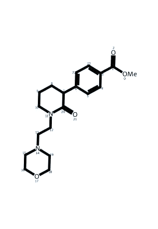 COC(=O)c1ccc(C2CCCN(CCN3CCOCC3)C2=O)cc1